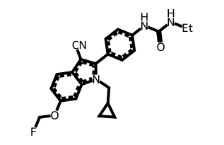 CCNC(=O)Nc1ccc(-c2c(C#N)c3ccc(OCF)cc3n2CC2CC2)cc1